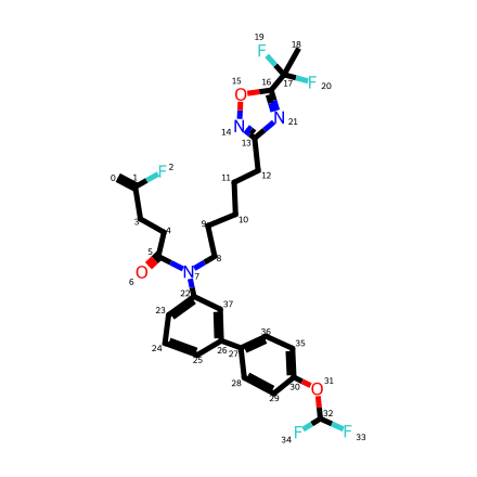 C=C(F)CCC(=O)N(CCCCCc1noc(C(C)(F)F)n1)c1cccc(-c2ccc(OC(F)F)cc2)c1